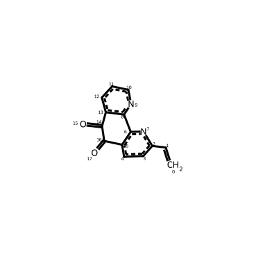 C=Cc1ccc2c(n1)-c1ncccc1C(=O)C2=O